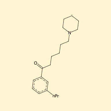 CCCc1cccc(C(=O)CCCCCN2CC[CH]CC2)c1